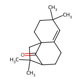 CC1(C)C=C2CCC3C(=O)C2(CC1)CC3(C)C